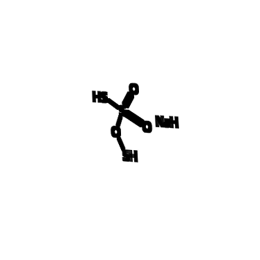 O=S(=O)(S)OS.[NaH]